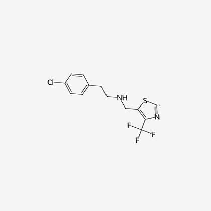 FC(F)(F)c1n[c]sc1CNCCc1ccc(Cl)cc1